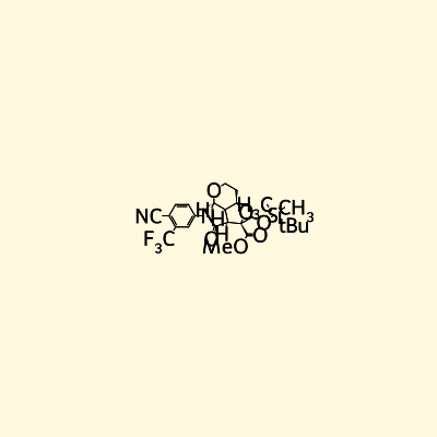 COC(=O)[C@]12O[C@@]3(CCO[C@H]4[C@@H]3[C@@H]1C(=O)N4c1ccc(C#N)c(C(F)(F)F)c1)C[C@H]2O[Si](C)(C)C(C)(C)C